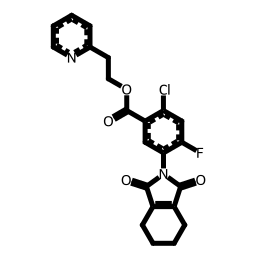 O=C(OCCc1ccccn1)c1cc(N2C(=O)C3=C(CCCC3)C2=O)c(F)cc1Cl